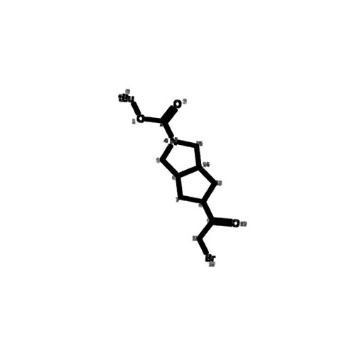 CC(C)(C)OC(=O)N1CC2CC(C(=O)CBr)CC2C1